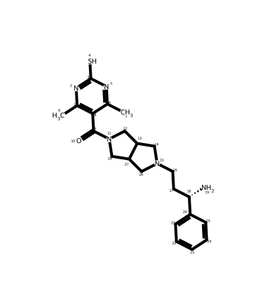 Cc1nc(S)nc(C)c1C(=O)N1CC2CN(CC[C@H](N)c3ccccc3)CC2C1